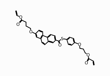 C=COC(=O)CCCOc1ccc2c(ccc3cc(C(=O)Sc4ccc(OCCCOC(=O)C=C)cc4)ccc32)c1